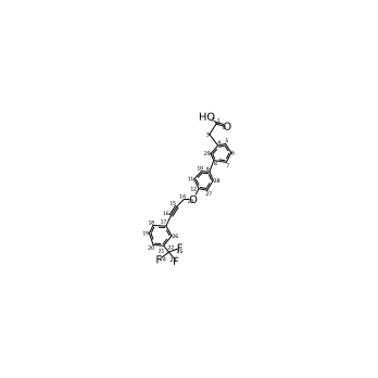 O=C(O)Cc1cccc(-c2ccc(OCC#Cc3cccc(C(F)(F)F)c3)cc2)c1